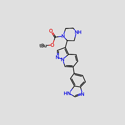 CC(C)(C)OC(=O)N1CCNCC1c1cnn2cc(-c3ccc4nc[nH]c4c3)ccc12